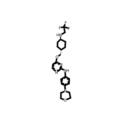 FC(F)(F)CN[C@H]1CC[C@H](COc2ccnc(Nc3ccc(N4CCOCC4)cc3)n2)CC1